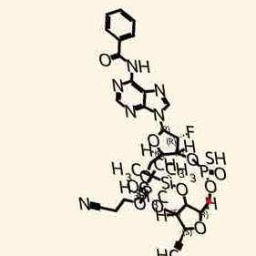 C#C[C@@H]1O[C@@H]2COP(=O)(S)O[C@H]3[C@@H](F)[C@H](n4cnc5c(NC(=O)c6ccccc6)ncnc54)O[C@@H]3COP(=O)(OCCC#N)O[C@@H]1C2O[Si](C)(C)C(C)(C)C